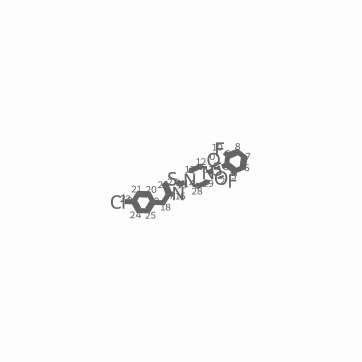 O=S(=O)(c1c(F)cccc1F)N1CCN(c2nc(Cc3ccc(Cl)cc3)cs2)CC1